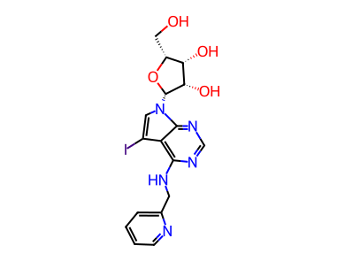 OC[C@H]1O[C@@H](n2cc(I)c3c(NCc4ccccn4)ncnc32)[C@@H](O)[C@H]1O